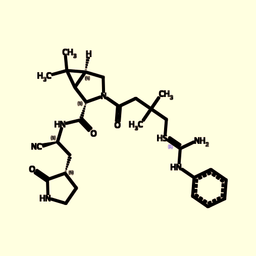 CC(C)(C/[SH]=C(\N)Nc1ccccc1)CC(=O)N1C[C@H]2C([C@H]1C(=O)N[C@H](C#N)C[C@@H]1CCNC1=O)C2(C)C